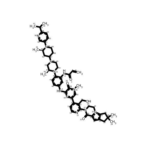 C=CC(=O)Nc1cc(Nc2nc(-c3ccnc(N4CCn5c(cc6c5CC(C)(C)C6)C4=O)c3CO)cn(C)c2=O)ccc1N1CCN(C2CCN(c3ccc(C(C)C)nc3)[C@H](C)C2)C[C@@H]1C